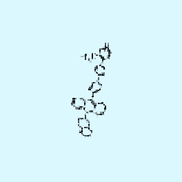 Cc1cnccc1-c1ccc(-c2ccc(-c3c4ccccc4c(-c4ccc5ccccc5c4)c4ccccc34)cc2)cc1